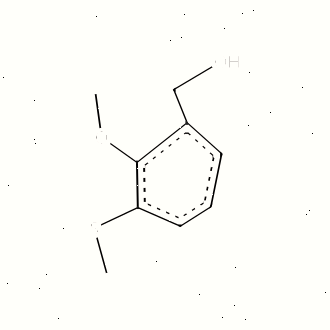 COc1c([CH]O)cccc1SC